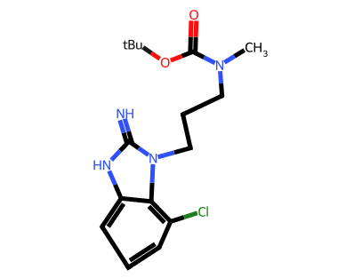 CN(CCCn1c(=N)[nH]c2cccc(Cl)c21)C(=O)OC(C)(C)C